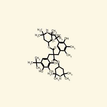 Cc1c(CC(Cc2cc(C(C)(C)C)c(O)c(C)c2C)(C(=O)OC2CC(C)(C)NC(C)(C)C2)C(=O)OC2CC(C)(C)NC(C)(C)C2)cc(C(C)(C)C)c(O)c1C